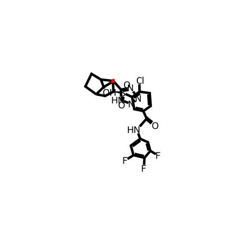 O=C(Nc1cc(F)c(F)c(F)c1)c1ccc(Cl)c(S(=O)(=O)[C@H]2CC3CCC(C2)[C@]3(O)Cc2nnn[nH]2)c1